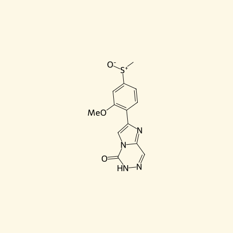 COc1cc([S+](C)[O-])ccc1-c1cn2c(=O)[nH]ncc2n1